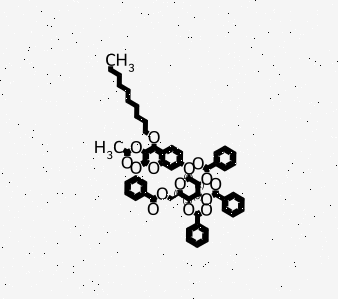 CCCCCCCCCCOc1c(OC(C)=O)c(=O)oc2cc(O[C@@H]3O[C@H](COC(=O)c4ccccc4)[C@H](OC(=O)c4ccccc4)[C@H](OC(=O)c4ccccc4)[C@H]3OC(=O)c3ccccc3)ccc12